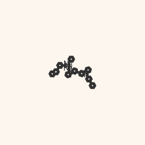 c1ccc(-c2ccc(-n3c4ccccc4c4cc(-c5ccc6c(c5)c5ccccc5n6-c5nc(-c6ccccc6)nc(-c6cccc(-c7ccc8ccccc8c7)c6)n5)ccc43)cc2)cc1